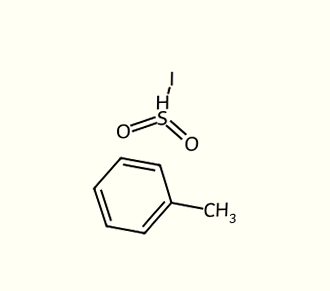 Cc1ccccc1.O=[SH](=O)I